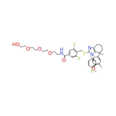 COc1ccc(C2(C)CCCc3nc(SCc4c(F)cc(C(=O)NCCOCCOCCOCCO)cc4F)n(-c4ccc(F)cc4)c32)cc1C